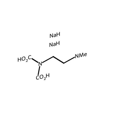 CNCCN(C(=O)O)C(=O)O.[NaH].[NaH]